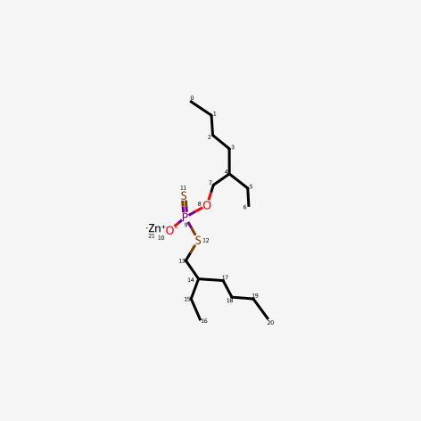 CCCCC(CC)COP([O-])(=S)SCC(CC)CCCC.[Zn+]